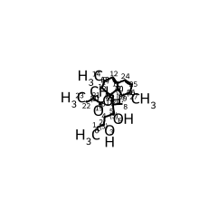 CC[C@H](O)C[C@@H](O)CC[C@@H]1[C@@H]2C(=C[C@H](C)C[C@@H]2OC(=O)[C@@H](C)CC)C=C[C@@H]1C